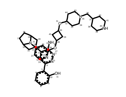 Nc1nnc(-c2ccccc2O)cc1N1CC2CCC(C1)N2c1ccnc(OC2CC(OC3CCN(CC4CCNCC4)CC3)C2)c1